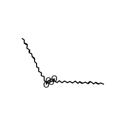 CCC=CCC=CCC=CCCCCCCCCCC(=O)OOC(=O)CCCCCCCCCC=CCC=CCC=CCC